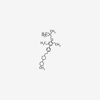 CCc1cc(-c2ccc(CCC3CCC(C4CCC(C)CC4)CC3)cc2)c(CC)cc1OCCC(CC)(CC)CC